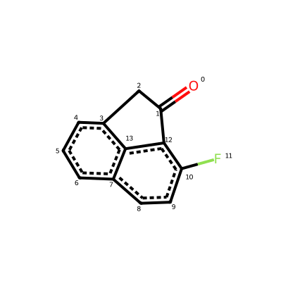 O=C1Cc2cccc3ccc(F)c1c23